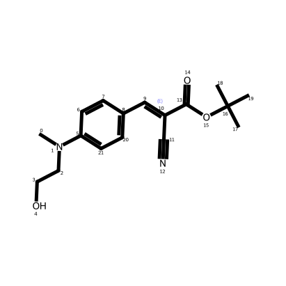 CN(CCO)c1ccc(/C=C(\C#N)C(=O)OC(C)(C)C)cc1